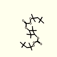 CC(C)(C)CC(C)(C)OOC(=O)OC1C(C)(C)C(OC(=O)OOC(C)(C)CC(C)(C)C)C1(C)C